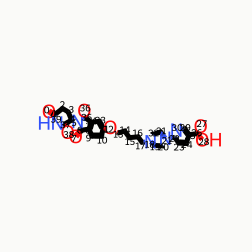 O=C1CCC(N2C(=O)c3ccc(OCCCCCN4CCN(c5ccc(C(=O)O)cn5)CC4)cc3C2=O)C(=O)N1